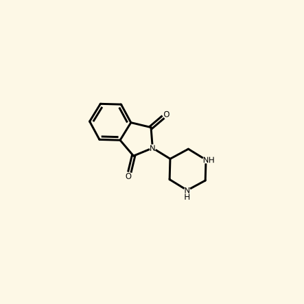 O=C1c2ccccc2C(=O)N1C1CNCNC1